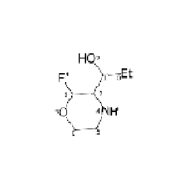 CCC(O)C1NCCOC1F